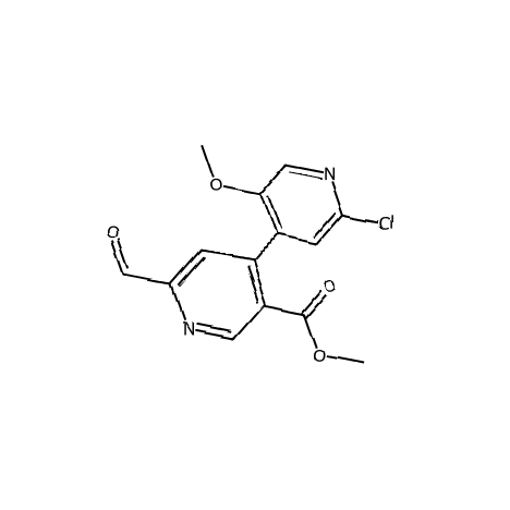 COC(=O)c1cnc(C=O)cc1-c1cc(Cl)ncc1OC